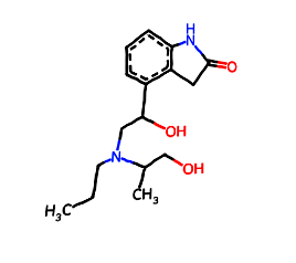 CCCN(CC(O)c1cccc2c1CC(=O)N2)C(C)CO